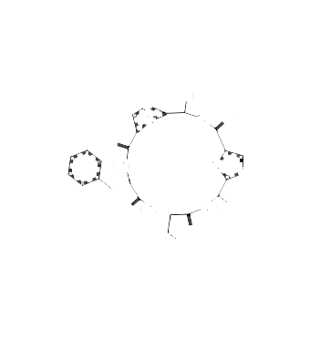 CC1NC(=O)c2csc(n2)C(C)NC(=O)[C@H]([C@@H](C)O)NC(=O)[C@H](Cc2ccccc2)NC(=O)c2csc1n2